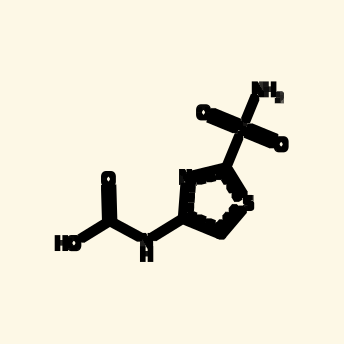 NS(=O)(=O)c1nc(NC(=O)O)cs1